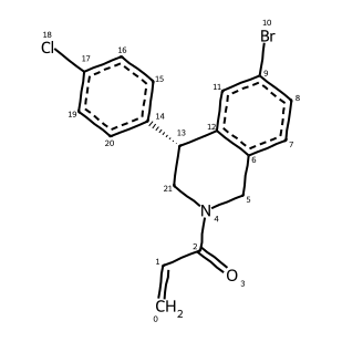 C=CC(=O)N1Cc2ccc(Br)cc2[C@@H](c2ccc(Cl)cc2)C1